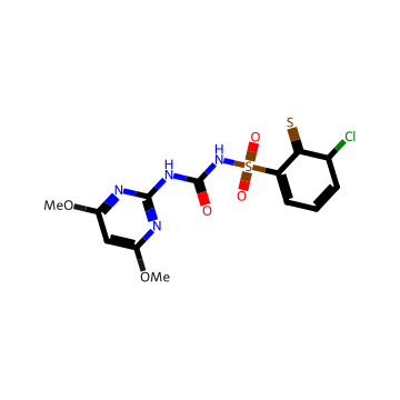 COc1cc(OC)nc(NC(=O)NS(=O)(=O)C2=CC=CC(Cl)C2=S)n1